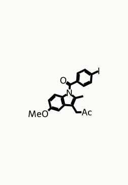 COc1ccc2c(c1)c(CC(C)=O)c(C)n2C(=O)c1ccc(I)cc1